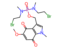 COC1=CC(=O)c2c(c(COP(=O)(N(C)CCBr)N(C)CCBr)cn2C)C1=O